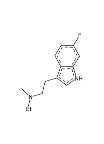 CCN(C)CCc1c[nH]c2cc(F)ccc12